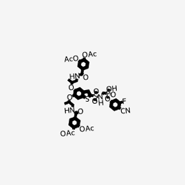 CC(=O)Oc1ccc(C(=O)NCC(C)Oc2cc3cc(S(=O)(=O)NCP(=O)(O)Oc4ccc(C#N)c(F)c4)sc3cc2OC(C)CNC(=O)c2ccc(OC(C)=O)c(OC(C)=O)c2)cc1OC(C)=O